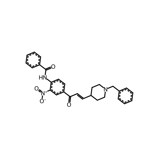 O=C(C=CC1CCN(Cc2ccccc2)CC1)c1ccc(NC(=O)c2ccccc2)c([N+](=O)[O-])c1